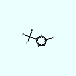 FC(F)(F)c1ncc(I)s1